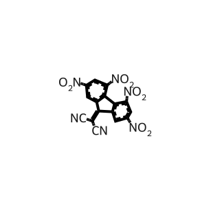 N#CC(C#N)=C1c2cc([N+](=O)[O-])cc([N+](=O)[O-])c2-c2c1cc([N+](=O)[O-])cc2[N+](=O)[O-]